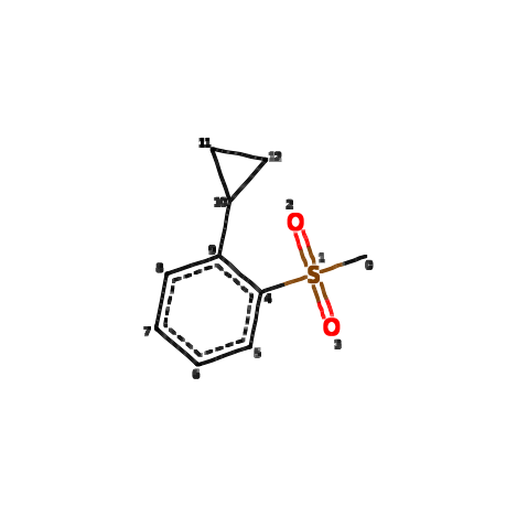 CS(=O)(=O)c1ccccc1C1CC1